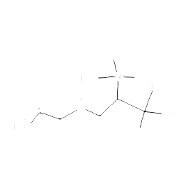 [2H]C([2H])(F)C(COCCC)[N+](C)(C)C